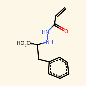 C=CC(=O)NN[C@@H](Cc1ccccc1)C(=O)O